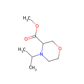 COC(=O)C1COCCN1C(C)C